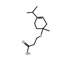 CC(C)C1=CCC(C)(SCCC(=O)O)CC1